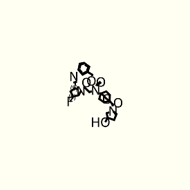 N#C[C@@H]1C[C@H](F)CN1C(=O)CN(C(=O)OCc1ccccc1)C12CCC(C(=O)N3CCC(O)C3)(CC1)CC2